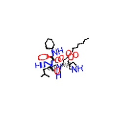 CCCCCCC(=O)OCC(=O)[C@H](C[C@]1(C=O)CCNC1)NC[C@@](C=O)(CC(C)C)NC(=O)C(=O)NC1CCCCC1